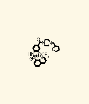 O=C(c1ccc(NS(=O)(=O)c2cccc3cccnc23)c(OC(F)(F)F)c1)N1CCN(CC2CCCO2)CC1